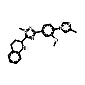 COc1cc(-c2nc(C3CCc4ccccc4N3)n(C)n2)ccc1-n1cnc(C)c1